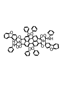 O=C(Nc1ccccc1)C(c1ccc2oc3ccccc3c2c1)N1C(=O)c2cc(Oc3ccccc3)c3c4c(Oc5ccccc5)cc5c6c(cc(Oc7ccccc7)c(c7c(Oc8ccccc8)cc(c2c37)C1=O)c64)C(=O)N(C(C(=O)Nc1ccccc1)c1ccc2oc3ccccc3c2c1)C5=O